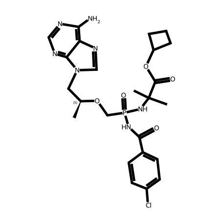 C[C@@H](Cn1cnc2c(N)ncnc21)OCP(=O)(NC(=O)c1ccc(Cl)cc1)NC(C)(C)C(=O)OC1CCC1